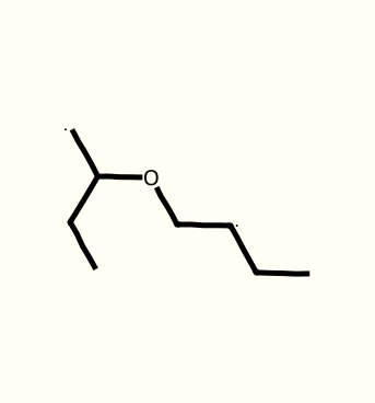 [CH2]C(CC)OC[CH]CC